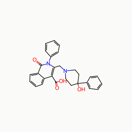 O=C(O)c1c(CN2CCC(O)(c3ccccc3)CC2)n(-c2ccccc2)c(=O)c2ccccc12